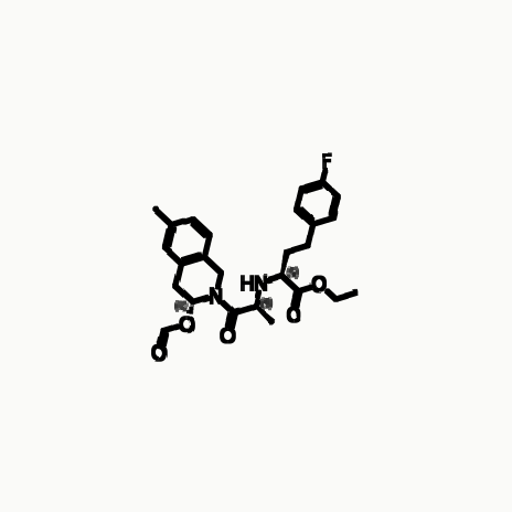 CCOC(=O)[C@H](CCc1ccc(F)cc1)N[C@@H](C)C(=O)N1Cc2ccc(C)cc2C[C@H]1OC=O